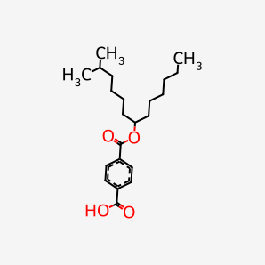 CCCCCCC(CCCCC(C)C)OC(=O)c1ccc(C(=O)O)cc1